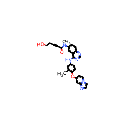 Cc1cc(Nc2ncnc3ccc(N(C)C(=O)C#CCCO)cc23)ccc1Oc1ccn2ccnc2c1